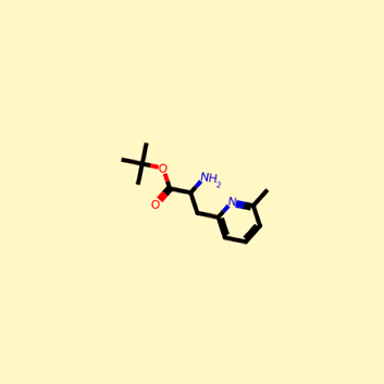 Cc1cccc(CC(N)C(=O)OC(C)(C)C)n1